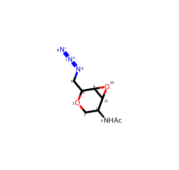 CC(=O)NC1COC(CN=[N+]=[N-])C2OC12